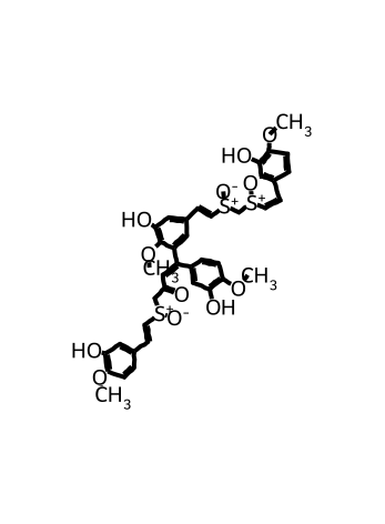 COc1ccc(/C=C\[S+]([O-])C[S+]([O-])/C=C/c2cc(O)c(OC)c(C(=CC(=O)C[S+]([O-])/C=C/c3ccc(OC)c(O)c3)c3ccc(OC)c(O)c3)c2)cc1O